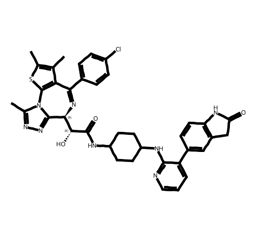 Cc1sc2c(c1C)C(c1ccc(Cl)cc1)=N[C@@H]([C@@H](O)C(=O)NC1CCC(Nc3ncccc3-c3ccc4c(c3)CC(=O)N4)CC1)c1nnc(C)n1-2